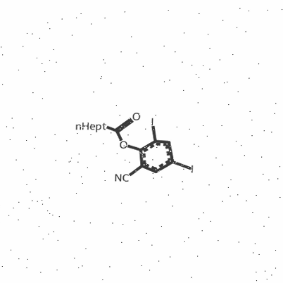 CCCCCCCC(=O)Oc1c(I)cc(I)cc1C#N